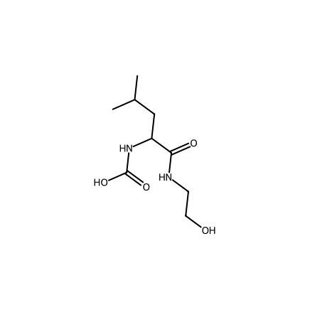 CC(C)CC(NC(=O)O)C(=O)NCCO